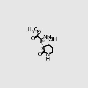 COC(=O)[C@@H](N)C[C@@H]1CCCNC1=O.Cl